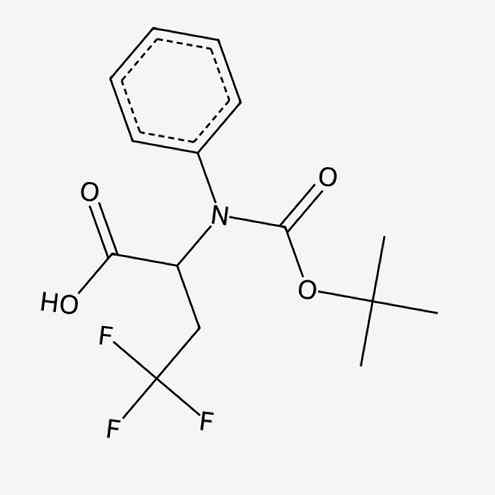 CC(C)(C)OC(=O)N(c1ccccc1)C(CC(F)(F)F)C(=O)O